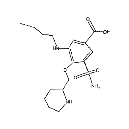 CCCCNc1cc(C(=O)O)cc(S(N)(=O)=O)c1OCC1CCCCN1